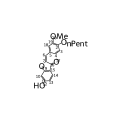 CCCCCOc1ccc(/C=C2/Oc3cc(O)ccc3C2=O)cc1OC